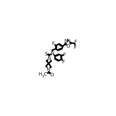 CC(=O)N1CC2(C1)CN(C(=S)N(Cc1ccc(-c3nnc(C(F)F)o3)cc1F)c1ccc(F)c(F)c1)C2